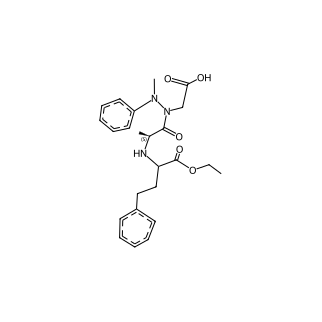 CCOC(=O)C(CCc1ccccc1)N[C@@H](C)C(=O)N(CC(=O)O)N(C)c1ccccc1